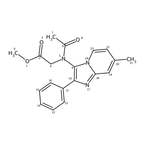 COC(=O)CN(C(C)=O)c1c(-c2ccccc2)nc2cc(C)ccn12